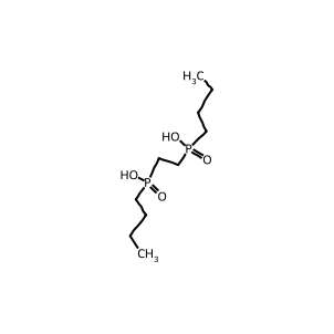 CCCCP(=O)(O)CCP(=O)(O)CCCC